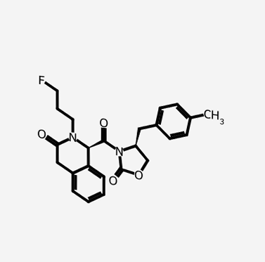 Cc1ccc(C[C@H]2COC(=O)N2C(=O)[C@H]2c3ccccc3CC(=O)N2CCCF)cc1